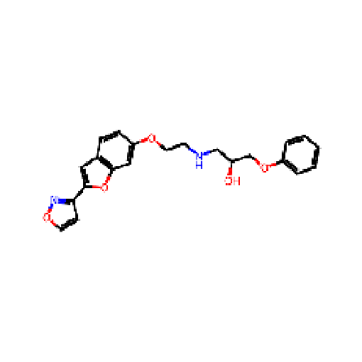 O[C@@H](CNCCOc1ccc2cc(-c3ccon3)oc2c1)COc1ccccc1